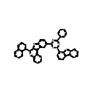 c1ccc(-c2nc(-c3ccc4sc5c(-c6cccc7ccccc67)nc6ccccc6c5c4c3)nc(-c3cccc4c3sc3ccccc34)n2)cc1